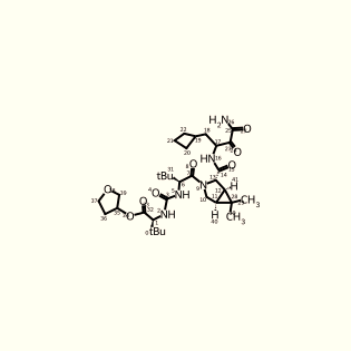 CC(C)(C)[C@H](NC(=O)N[C@H](C(=O)N1C[C@H]2[C@@H]([C@H]1C(=O)NC(CC1CCC1)C(=O)C(N)=O)C2(C)C)C(C)(C)C)C(=O)OC1CCOC1